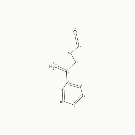 C=C(CCC=O)c1ccccc1